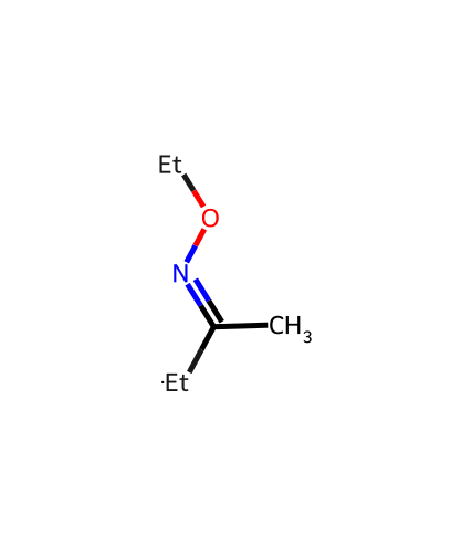 C[CH]C(C)=NOCC